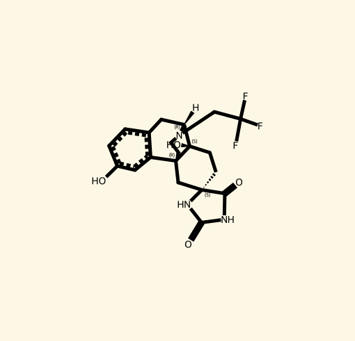 O=C1NC(=O)[C@@]2(CC[C@@]3(O)[C@H]4Cc5ccc(O)cc5[C@@]3(CCN4CC(F)(F)F)C2)N1